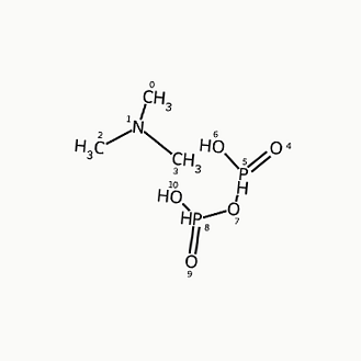 CN(C)C.O=[PH](O)O[PH](=O)O